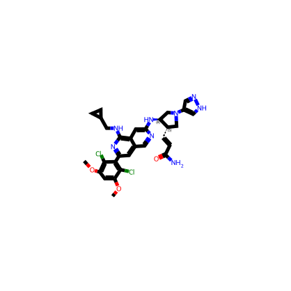 COc1cc(OC)c(Cl)c(-c2cc3cnc(N[C@H]4CN(c5cn[nH]c5)C[C@@H]4C=CC(N)=O)cc3c(NCC3CC3)n2)c1Cl